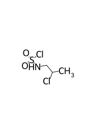 CC(Cl)CNS(=O)(=O)Cl